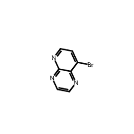 Brc1ccnc2nccnc12